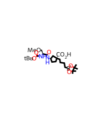 COC[C@H](NC(=O)OC(C)(C)C)C(=O)N[C@H]1CC[C@@](CCCCB2OC(C)(C)C(C)(C)O2)(C(=O)O)C1